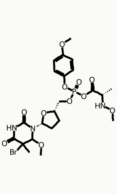 CON[C@@H](C)C(=O)OP(=O)(OC[C@@H]1CC[C@H](N2C(=O)NC(=O)C(C)(Br)C2OC)O1)Oc1ccc(OC)cc1